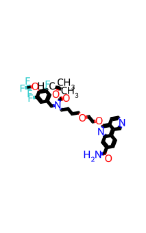 CC(C)(C)OC(=O)N(CCCCOCCOc1nc2cc(C(N)=O)ccc2c2cnccc12)Cc1cc(F)c(OC(F)(F)F)c(F)c1